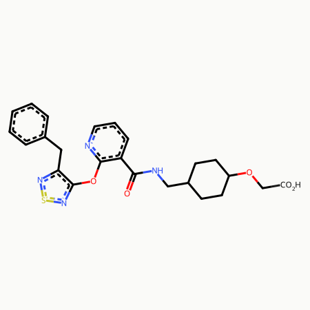 O=C(O)COC1CCC(CNC(=O)c2cccnc2Oc2nsnc2Cc2ccccc2)CC1